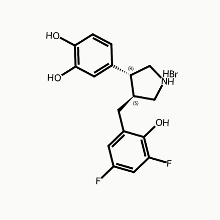 Br.Oc1ccc([C@@H]2CNC[C@H]2Cc2cc(F)cc(F)c2O)cc1O